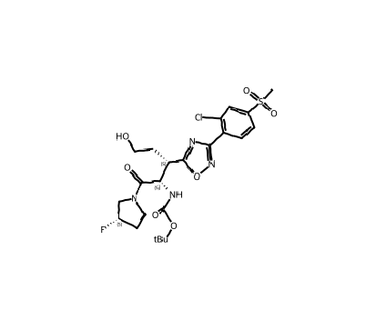 CC(C)(C)OC(=O)N[C@H](C(=O)N1CC[C@H](F)C1)[C@H](CCO)c1nc(-c2ccc(S(C)(=O)=O)cc2Cl)no1